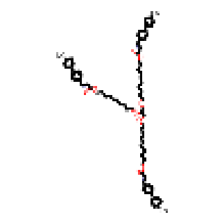 N#Cc1ccc(-c2ccc(/C=C/C(=O)OCCCCCCCCCCOCC(COCCCCCCCCCCOC(=O)/C=C/c3ccc(-c4ccc(C#N)cc4)cc3)OCCCCCCCCCCOC(=O)/C=C/c3ccc(-c4ccc(C#N)cc4)cc3)cc2)cc1